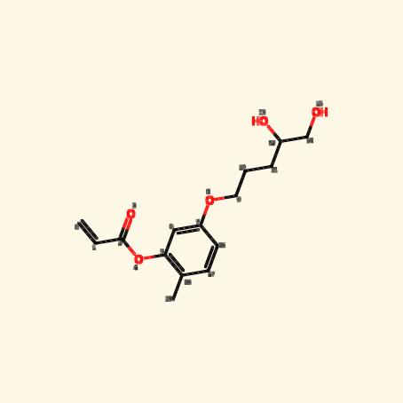 C=CC(=O)Oc1cc(OCCCC(O)CO)ccc1C